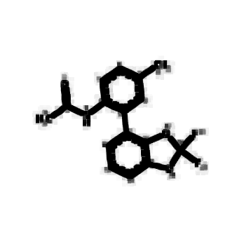 CC(=O)Nc1ccc(C)cc1-c1cccc2c1OC(F)(F)O2